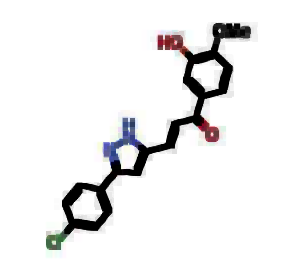 COc1ccc(C(=O)C=Cc2cc(-c3ccc(Cl)cc3)n[nH]2)cc1O